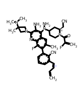 C=C/C=C\c1cccc(-c2c(C)cc3c(N(N)C4CCN(C(=O)C(=C)F)[C@H](CC#N)C4)c(N)c(N4CC(C)(N(C)C)C4)nc3c2F)c1C#N